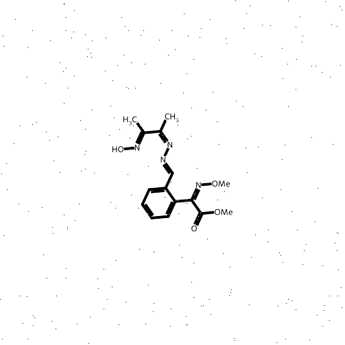 CON=C(C(=O)OC)c1ccccc1C=NN=C(C)C(C)=NO